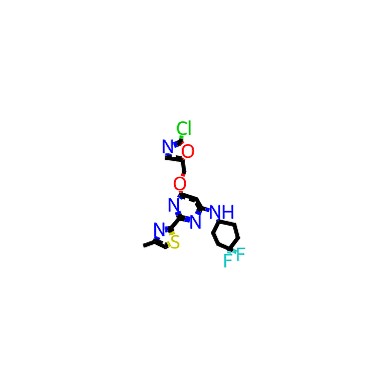 Cc1csc(-c2nc(NC3CCC(F)(F)CC3)cc(OCc3cnc(Cl)o3)n2)n1